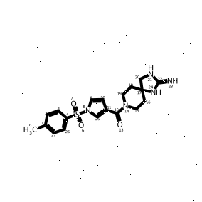 Cc1ccc(S(=O)(=O)n2ccc(C(=O)N3CCC4(CC3)CNC(=N)N4)c2)cc1